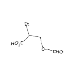 CCC(CO[C]=O)C(=O)O